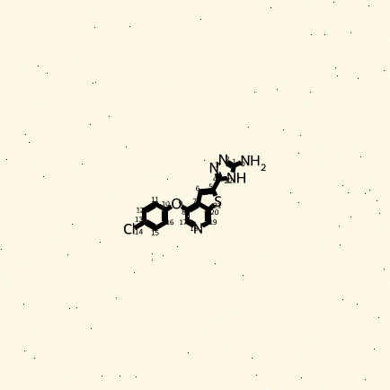 Nc1nnc(-c2cc3c(Oc4ccc(Cl)cc4)cncc3s2)[nH]1